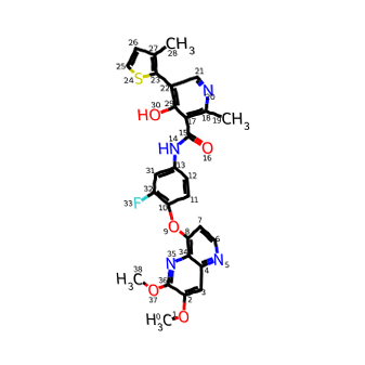 COc1cc2nccc(Oc3ccc(NC(=O)c4c(C)ncc(-c5sccc5C)c4O)cc3F)c2nc1OC